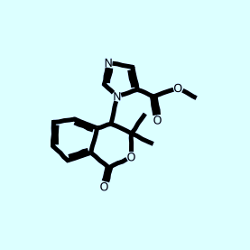 COC(=O)c1cncn1C1c2ccccc2C(=O)OC1(C)C